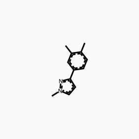 Cc1ccc(-c2ccn(C)n2)cc1C